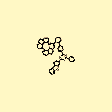 c1ccc(-c2nc(-c3ccc(-c4ccccc4-c4cc5ccc6cccc7c8cccc9ccc%10cccc(c(c4)c5c67)c%10c98)cc3)nc(-c3ccc4c(c3)sc3ccccc34)n2)cc1